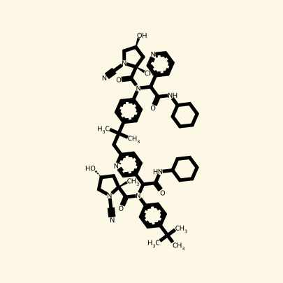 CC(C)(C)c1ccc(N(C(=O)[C@@]2(C)C[C@@H](O)CN2C#N)C(C(=O)NC2CCCCC2)c2ccc(CC(C)(C)c3ccc(N(C(=O)[C@@]4(C)C[C@H](O)CN4C#N)C(C(=O)NC4CCCCC4)c4cccnc4)cc3)nc2)cc1